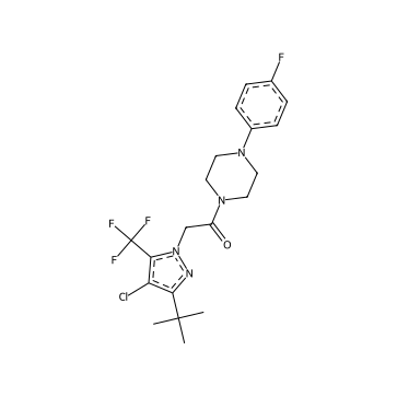 CC(C)(C)c1nn(CC(=O)N2CCN(c3ccc(F)cc3)CC2)c(C(F)(F)F)c1Cl